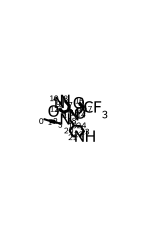 CC#CCN1c2c(cnn(C)c2=O)N(OC(=O)C(F)(F)F)C1C1CCNCC1